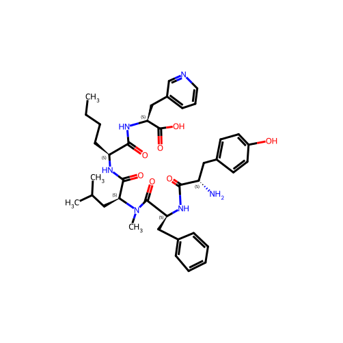 CCCC[C@H](NC(=O)[C@H](CC(C)C)N(C)C(=O)[C@H](Cc1ccccc1)NC(=O)[C@@H](N)Cc1ccc(O)cc1)C(=O)N[C@@H](Cc1cccnc1)C(=O)O